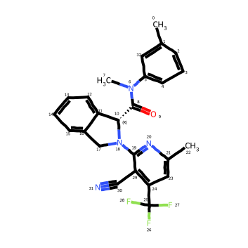 Cc1cccc(N(C)C(=O)[C@H]2c3ccccc3CN2c2nc(C)cc(C(F)(F)F)c2C#N)c1